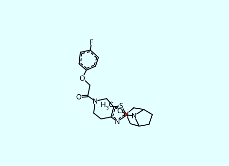 CCN1CC2CCC(C1)N2c1nc2c(s1)CN(C(=O)COc1ccc(F)cc1)CC2